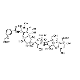 CCCCCCCCCCCOc1cccc(C(=O)N[C@@H]2C(O[C@H]3C(O)C(NC(C)=O)[C@H](OC4C(CO)O[C@@H](O[C@H]5C(O)C(NC(C)=O)C(OC6C(CO)OC(O)[C@@H](NC(C)=O)[C@H]6O)O[C@H]5CO)[C@@H](NC(C)=O)[C@H]4O)O[C@H]3CO)OC(CO)[C@@H](O)C2O)c1